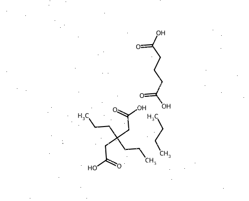 CCCC.CCCC(CCC)(CC(=O)O)CC(=O)O.O=C(O)CCCC(=O)O